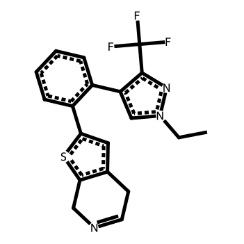 CCn1cc(-c2ccccc2-c2cc3c(s2)CN=CC3)c(C(F)(F)F)n1